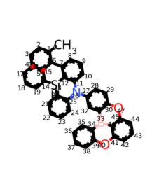 Cc1ccccc1-c1cccc2c1[SiH](c1ccccc1)c1ccccc1N2c1ccc2c(c1)B1c3ccccc3Oc3cccc(c31)O2